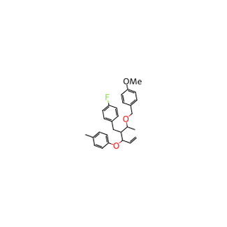 C=CC(Oc1ccc(C)cc1)C(Cc1ccc(F)cc1)C(C)OCc1ccc(OC)cc1